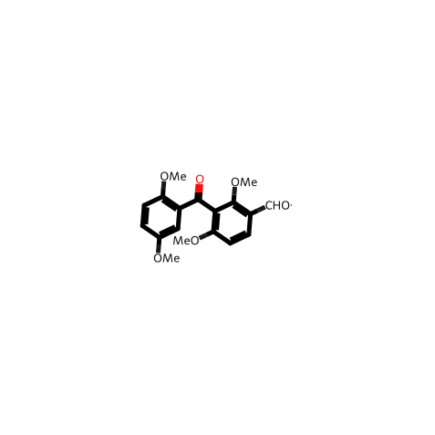 COc1ccc(OC)c(C(=O)c2c(OC)ccc([C]=O)c2OC)c1